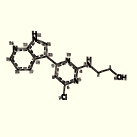 OCCNc1nc(Cl)cc(-c2c[nH]c3ncccc23)n1